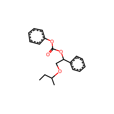 CCC(C)OCC(OC(=O)Oc1ccccc1)c1ccccc1